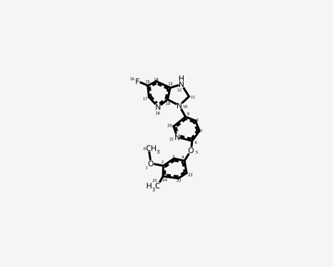 COc1cc(Oc2ccc(N3CNc4cc(F)cnc43)cn2)ccc1C